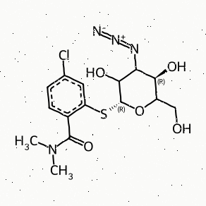 CN(C)C(=O)c1ccc(Cl)cc1S[C@H]1OC(CO)[C@H](O)C(N=[N+]=[N-])C1O